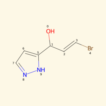 OC(C=CBr)c1ccn[nH]1